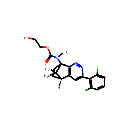 CN(C(=O)OCCO)C12CC[C@@H](c3cc(-c4c(F)cccc4F)nnc31)C2(C)C